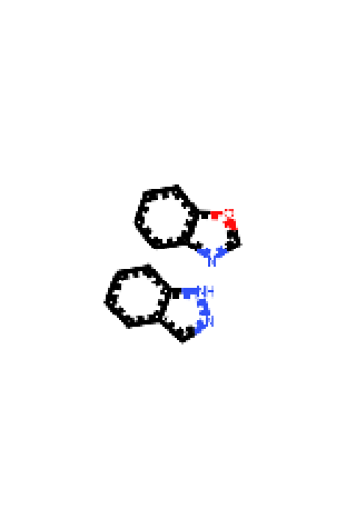 c1ccc2[nH]ncc2c1.c1ccc2ocnc2c1